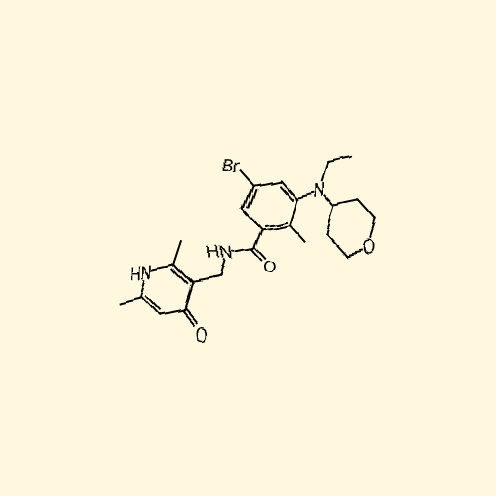 CCN(c1cc(Br)cc(C(=O)NCc2c(C)[nH]c(C)cc2=O)c1C)C1CCOCC1